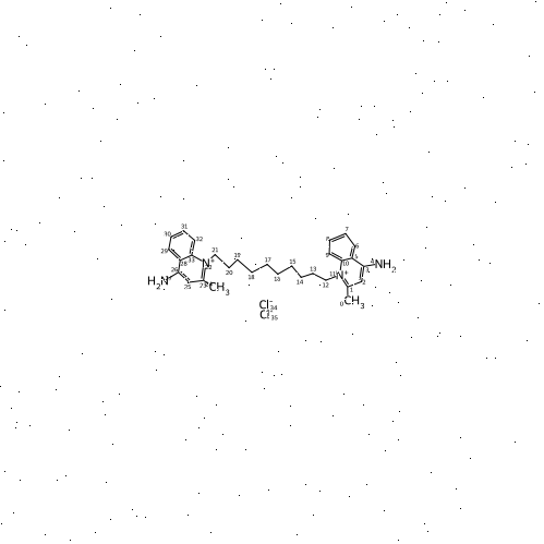 Cc1cc(N)c2ccccc2[n+]1CCCCCCCCCC[n+]1c(C)cc(N)c2ccccc21.[Cl-].[Cl-]